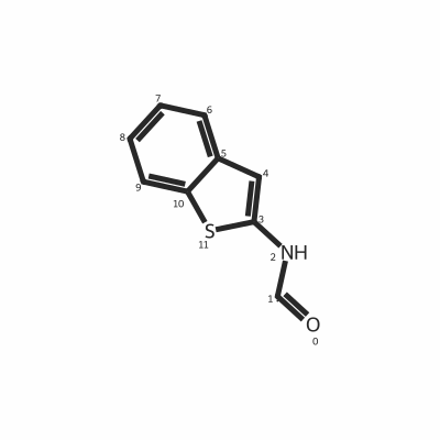 O=[C]Nc1cc2ccccc2s1